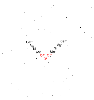 [Ag].[Ag].[Ce+3].[Ce+3].[Mn].[Mn].[Ni].[Ni].[O-2].[O-2].[O-2]